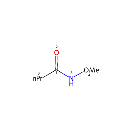 CCCC(=O)NOC